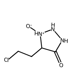 O=C1NN[NH+]([O-])C1CCCl